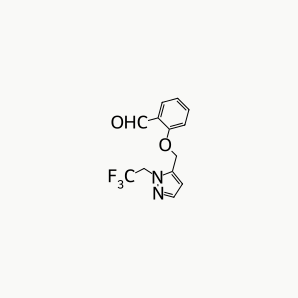 O=Cc1ccccc1OCc1ccnn1CC(F)(F)F